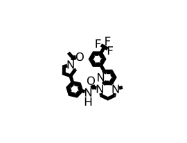 CC(=O)N1CCC(c2cccc(NC(=O)N3CCCN(C)c4ccc(-c5cccc(C(F)(F)F)c5)nc43)c2)C1